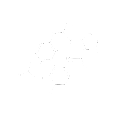 CC(N)C(=O)O.NC(Cc1ccccc1)C(=O)O.O=C(Nc1ccc([N+](=O)[O-])cc1)[C@@H]1CCCN1